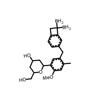 BC1(B)Cc2ccc(Cc3cc(C4CC(O)CC(CO)O4)c(OC)cc3C)cc21